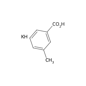 Cc1cccc(C(=O)O)c1.[KH]